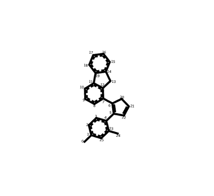 Cc1ccc(C2=C(c3cccc4c3[CH]c3ccccc3-4)CC=C2)c(C)c1